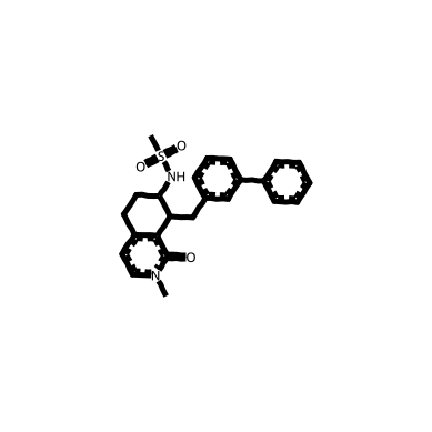 Cn1ccc2c(c1=O)C(Cc1cccc(-c3ccccc3)c1)C(NS(C)(=O)=O)CC2